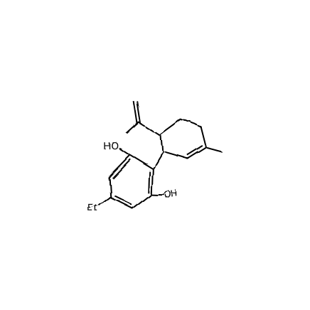 C=C(C)C1CCC(C)=CC1c1c(O)cc(CC)cc1O